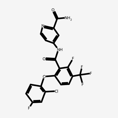 NC(=O)c1cc(NC(=O)c2c(Oc3ccc(F)cc3Cl)ccc(C(F)(F)F)c2F)ccn1